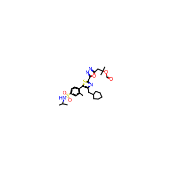 Cc1cc(S(=O)(=O)NC(C)C)ccc1-c1sc(-c2nnc(CC(C)(C)OC=O)o2)nc1CC1CCCCC1